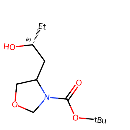 CC[C@@H](O)CC1COCN1C(=O)OC(C)(C)C